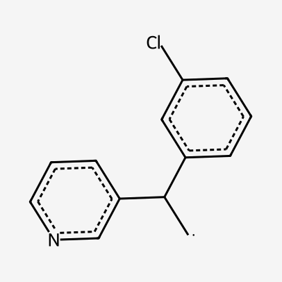 [CH2]C(c1cccnc1)c1cccc(Cl)c1